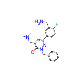 CN(C)Cc1cc(-c2ccc(F)c(CN)c2)nn(Cc2ccccc2)c1=O